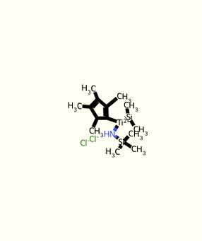 CC1=C(C)C(C)[C]([Ti+2]([NH][Si](C)(C)C)=[Si](C)C)=C1C.[Cl-].[Cl-]